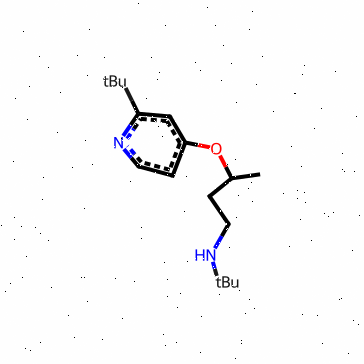 CC(CCNC(C)(C)C)Oc1ccnc(C(C)(C)C)c1